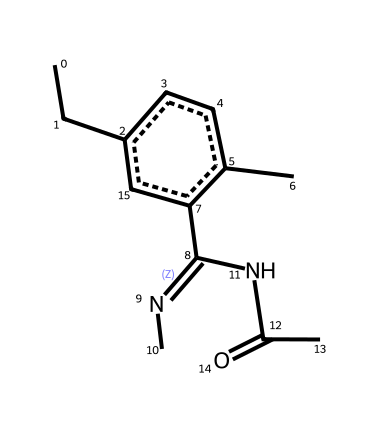 CCc1ccc(C)c(/C(=N/C)NC(C)=O)c1